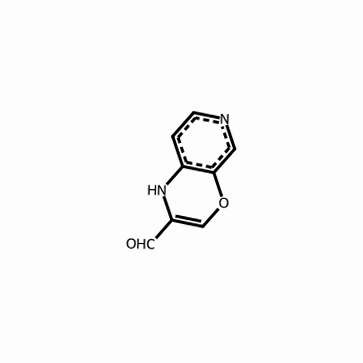 O=CC1=COc2cnccc2N1